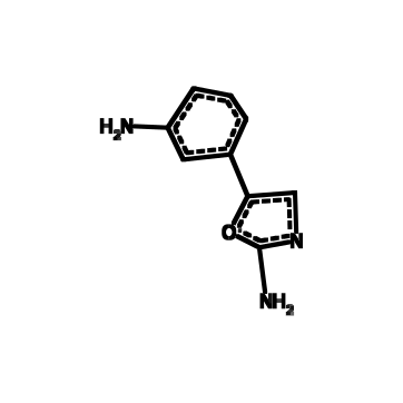 Nc1cccc(-c2cnc(N)o2)c1